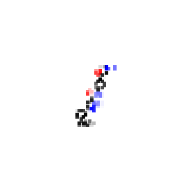 COc1cccc(-c2cc(C(=O)Nc3ccc([C@@H]4CNCCO4)cc3)[nH]n2)c1